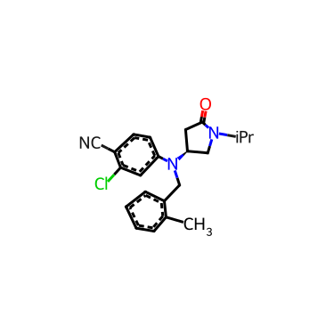 Cc1ccccc1CN(c1ccc(C#N)c(Cl)c1)[C@H]1CC(=O)N(C(C)C)C1